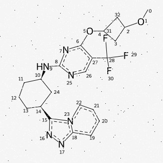 COC1CC(Oc2nc(N[C@@H]3CCC[C@H](c4nnc5ccccn45)C3)ncc2C(F)(F)F)C1